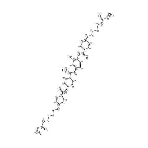 C=CC(=O)OCCCCOc1ccc(C(=O)Oc2ccc(/C(C)=N/c3ccc(OC(=O)c4ccc(OCCCCOC(=O)C=C)cc4)c(Cl)c3)cc2)cc1